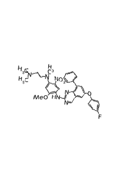 COc1cc(N(C)CCN(C)C)c([N+](=O)[O-])cc1Nc1ncc2cc(Oc3ccc(F)cc3)cc(-c3ccccc3)c2n1